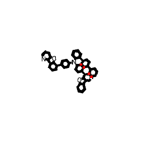 c1ccc(-c2ccc(-c3ccccc3N(c3ccc(-c4cncc5c4oc4ccccc45)cc3)c3ccc(-c4cccc5c4oc4cccnc45)cc3)cc2)cc1